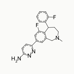 CN1CCC(c2ccccc2F)c2c(F)cc(-c3ccc(N)nn3)cc2C1